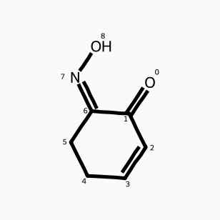 O=C1C=CCCC1=NO